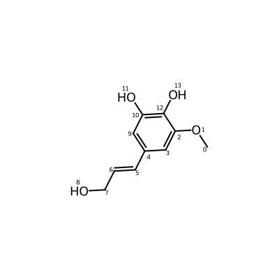 COc1cc(/C=C/CO)cc(O)c1O